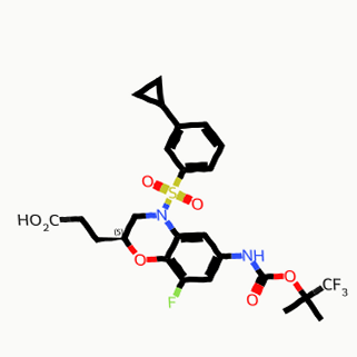 CC(C)(OC(=O)Nc1cc(F)c2c(c1)N(S(=O)(=O)c1cccc(C3CC3)c1)C[C@H](CCC(=O)O)O2)C(F)(F)F